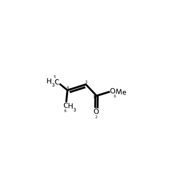 [CH2]OC(=O)C=C(C)C